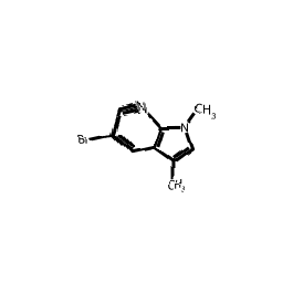 Cc1cn(C)c2ncc(Br)cc12